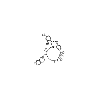 CCCc1cc(Cl)ccc1C1COc2ccc3cc2N(C1)CC1CCC1C(CN1CCc2ccncc2C1)CCCC(C)C(C)[S+]([O-])NC3=O